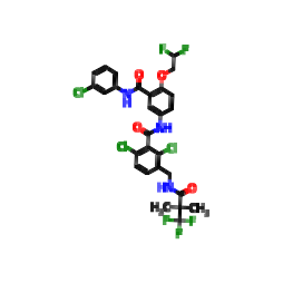 CC(C)(C(=O)NCc1ccc(Cl)c(C(=O)Nc2ccc(OCC(F)F)c(C(=O)Nc3cccc(Cl)c3)c2)c1Cl)C(F)(F)F